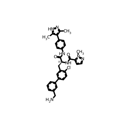 Cc1n[nH]c(C)c1-c1ccc(NC(=O)[C@H](Cc2cc(-c3cccc(CN)c3)ccc2Cl)NC(=O)c2ccnn2C)cc1